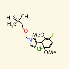 COC1=C(F)C=CC(Cl)(OC)C1c1ccn(COCC[Si](C)(C)C)c1